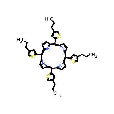 CCCc1csc(C2=C3C=CC(=N3)C(c3cc(CCC)cs3)=C3C=CC(=N3)C(c3cc(CCC)cs3)=C3C=CC(=N3)C(c3cc(CCC)cs3)=C3C=CC2=N3)c1